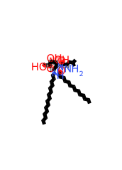 CCCCCCCCCCCCCCCCN(C(=O)CCCCCCCCCCCCC)[C@@H]1O[C@H](CO)[C@@H](O)[C@H](O)[C@H]1NC(=O)[C@@H](N)CC(C)C